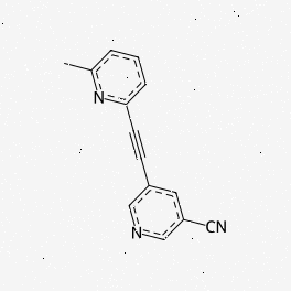 Cc1cccc(C#Cc2cncc(C#N)c2)n1